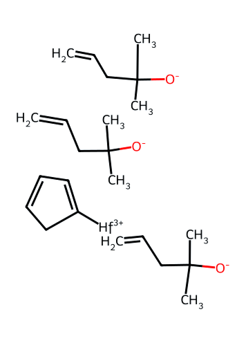 C=CCC(C)(C)[O-].C=CCC(C)(C)[O-].C=CCC(C)(C)[O-].[Hf+3][C]1=CC=CC1